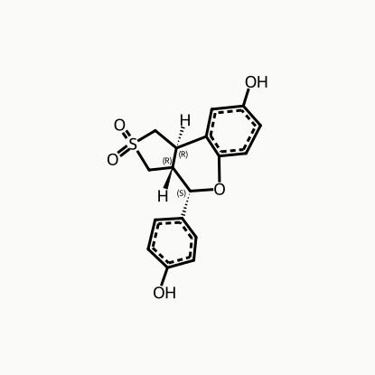 O=S1(=O)C[C@H]2[C@@H](c3ccc(O)cc3)Oc3ccc(O)cc3[C@@H]2C1